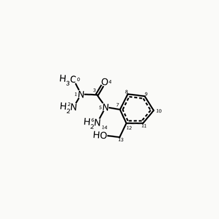 CN(N)C(=O)N(N)c1ccccc1CO